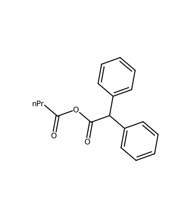 [CH2]CCC(=O)OC(=O)C(c1ccccc1)c1ccccc1